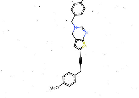 COc1ccc(CC#Cc2cc3c(s2)N=CN(Cc2ccc(C(=O)O)cc2)C3)cc1